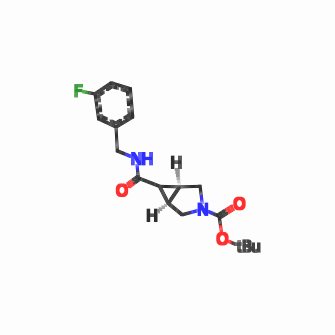 CC(C)(C)OC(=O)N1C[C@@H]2C(C(=O)NCc3cccc(F)c3)[C@@H]2C1